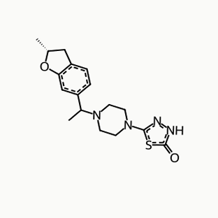 CC(c1ccc2c(c1)O[C@H](C)C2)N1CCN(c2n[nH]c(=O)s2)CC1